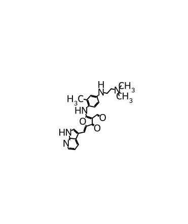 Cc1cc(NCCN(C)C)ccc1NC1=C(C=O)C(=O)/C(=C/c2c[nH]c3ncccc23)O1